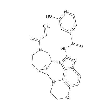 C=CC(=O)N1CCCC[C@@H](n2c(NC(=O)c3ccnc(O)c3)nc3ccc4c(c32)N(C2CC2)CCO4)C1